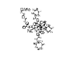 COCCOCCOC(=O)CCC(C)(C#N)CC(C)(CC(C)(SC(=S)c1ccccc1)C(=O)OCc1ccccc1)C(=O)OCCN1CCCCCC1